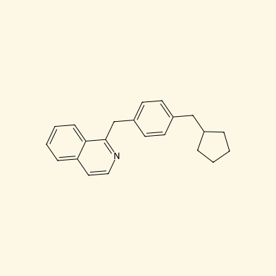 c1ccc2c(Cc3ccc(CC4CCCC4)cc3)nccc2c1